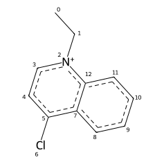 CC[n+]1ccc(Cl)c2ccccc21